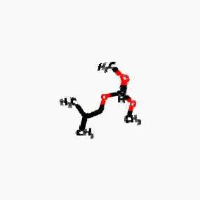 CO[SiH](OC)OCC(C)C